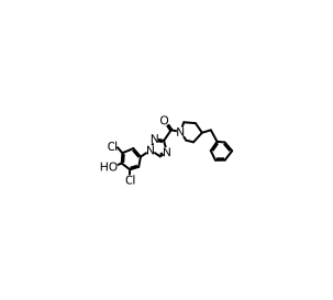 O=C(c1ncn(-c2cc(Cl)c(O)c(Cl)c2)n1)N1CCC(Cc2ccccc2)CC1